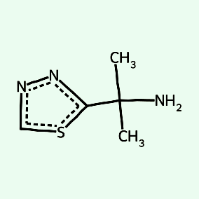 CC(C)(N)c1nncs1